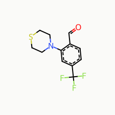 O=Cc1ccc(C(F)(F)F)cc1N1CCSCC1